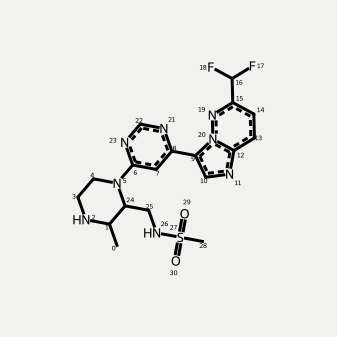 CC1NCCN(c2cc(-c3cnc4ccc(C(F)F)nn34)ncn2)C1CNS(C)(=O)=O